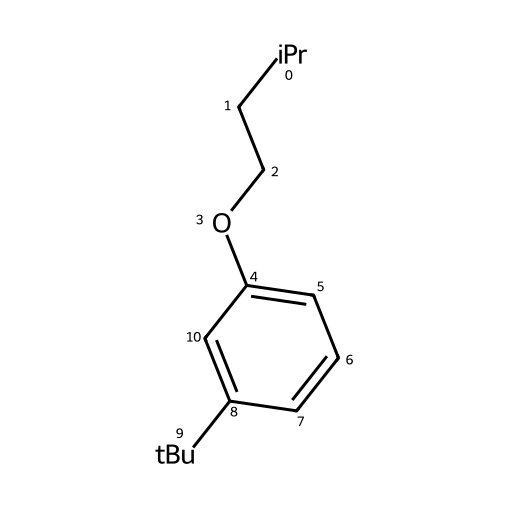 CC(C)CCOc1cccc(C(C)(C)C)c1